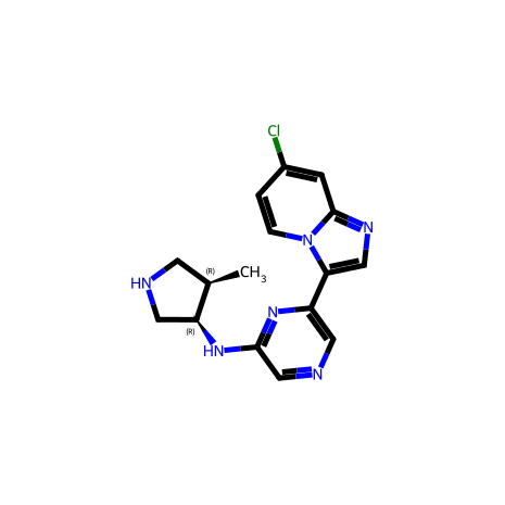 C[C@@H]1CNC[C@@H]1Nc1cncc(-c2cnc3cc(Cl)ccn23)n1